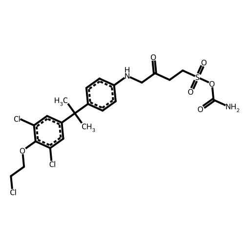 CC(C)(c1ccc(NCC(=O)CCS(=O)(=O)OC(N)=O)cc1)c1cc(Cl)c(OCCCl)c(Cl)c1